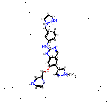 Cn1cc(-c2cc3cnc(Nc4cccc(CN5C=CCN5)c4)nc3cc2OCc2cnccn2)cn1